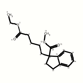 CCOC(=O)CCCCC1(C(=O)OC)CCc2ccccc21